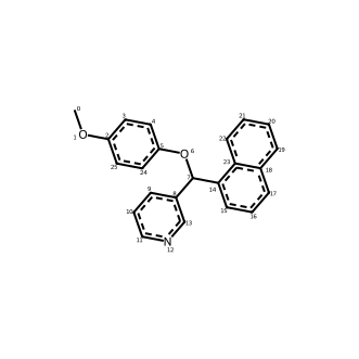 COc1ccc(OC(c2cccnc2)c2cccc3ccccc23)cc1